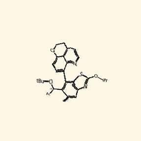 CC(=O)[C@@H](OC(C)(C)C)c1c(C)cc2nc(OC(C)C)sc2c1-c1ccc2c3c(ccnc13)CCO2